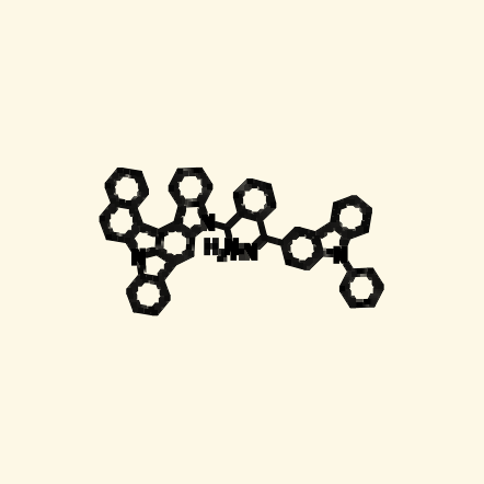 N=C(c1ccc2c(c1)c1ccccc1n2-c1ccccc1)c1ccccc1C(N)n1c2ccccc2c2c3c4c5ccccc5ccc4n4c5ccccc5c(cc21)c34